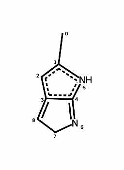 Cc1cc2c([nH]1)=NCC=2